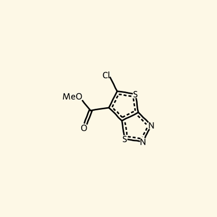 COC(=O)c1c(Cl)sc2nnsc12